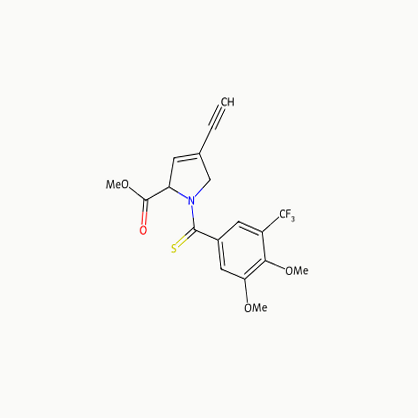 C#CC1=CC(C(=O)OC)N(C(=S)c2cc(OC)c(OC)c(C(F)(F)F)c2)C1